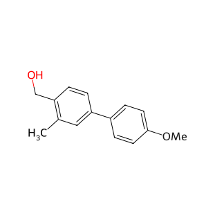 COc1ccc(-c2ccc(CO)c(C)c2)cc1